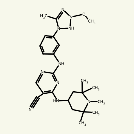 CON1N=C(C)N(c2cccc(Nc3ncc(C#N)c(NC4CC(C)(C)N(C)C(C)(C)C4)n3)c2)N1